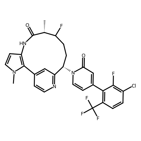 C[C@H]1C(=O)Nc2ccn(C)c2-c2ccnc(c2)[C@@H](n2ccc(-c3c(C(F)(F)F)ccc(Cl)c3F)cc2=O)CCC1F